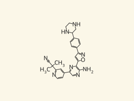 CC(C)(C#N)c1cc(-c2cnc(N)c(-c3cc(-c4ccc(C5CNCCN5)cc4)no3)n2)ccn1